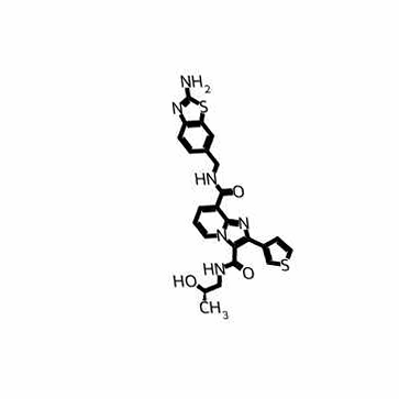 C[C@@H](O)CNC(=O)c1c(-c2ccsc2)nc2c(C(=O)NCc3ccc4nc(N)sc4c3)cccn12